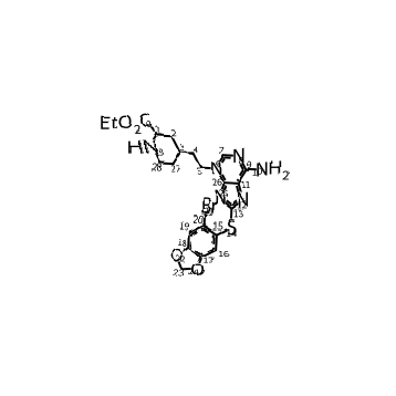 CCOC(=O)[C@H]1C[C@@H](CCn2cnc(N)c3nc(Sc4cc5c(cc4Br)OCO5)nc2-3)CCN1